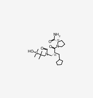 CC(C)(CN(C=O)C[C@@H](CC1CCCC1)C(=O)N1CCC[C@H]1C(N)=O)[Si](C)(C)O